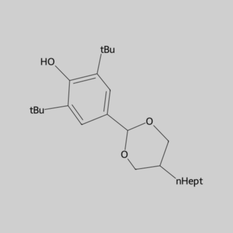 CCCCCCCC1COC(c2cc(C(C)(C)C)c(O)c(C(C)(C)C)c2)OC1